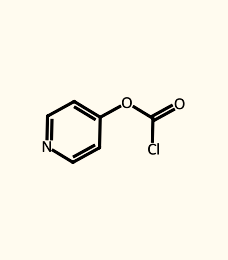 O=C(Cl)Oc1ccncc1